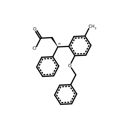 Cc1ccc(OCc2ccccc2)c([C@H](CC(=O)Cl)c2ccccc2)c1